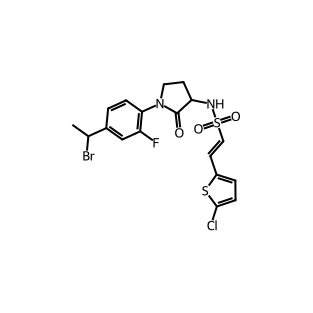 CC(Br)c1ccc(N2CCC(NS(=O)(=O)C=Cc3ccc(Cl)s3)C2=O)c(F)c1